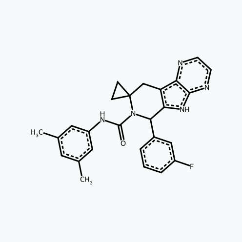 Cc1cc(C)cc(NC(=O)N2C(c3cccc(F)c3)c3[nH]c4nccnc4c3CC23CC3)c1